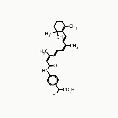 CCC(C(=O)O)c1ccc(NC(=O)C=C(C)C=CC=C(C)C=CC2=C(C)CCCC2(C)C)cc1